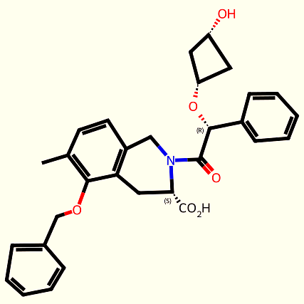 Cc1ccc2c(c1OCc1ccccc1)C[C@@H](C(=O)O)N(C(=O)[C@H](O[C@H]1C[C@@H](O)C1)c1ccccc1)C2